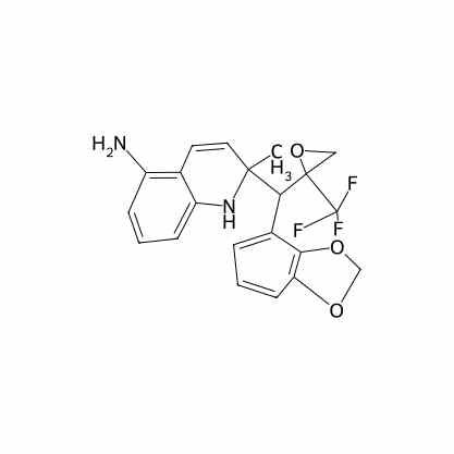 CC1(C(c2cccc3c2OCO3)C2(C(F)(F)F)CO2)C=Cc2c(N)cccc2N1